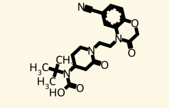 CC(C)(C)N(C(=O)O)C1CCN(CCN2C(=O)COc3ccc(C#N)cc32)C(=O)C1